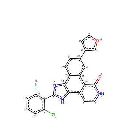 O=c1[nH]ccc2c3[nH]c(-c4c(F)cccc4Cl)nc3c3ccc(-c4ccoc4)cc3c12